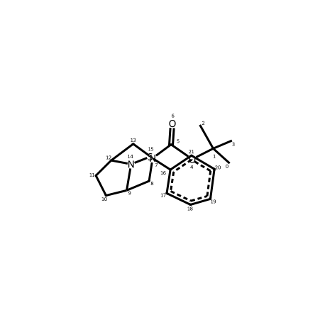 CC(C)(C)OC(=O)N1CC2CCC(C1)N2Sc1ccccc1